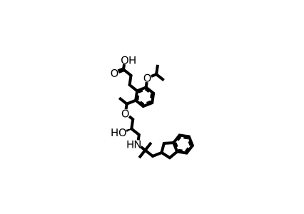 CC(C)Oc1cccc(C(C)OC[C@H](O)CNC(C)(C)CC2Cc3ccccc3C2)c1CCC(=O)O